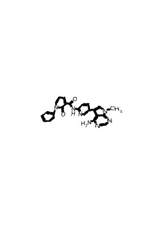 Cn1cc(-c2ccc(NC(=O)c3cccn(-c4ccccc4)c3=O)nc2)c2c(N)ncnc21